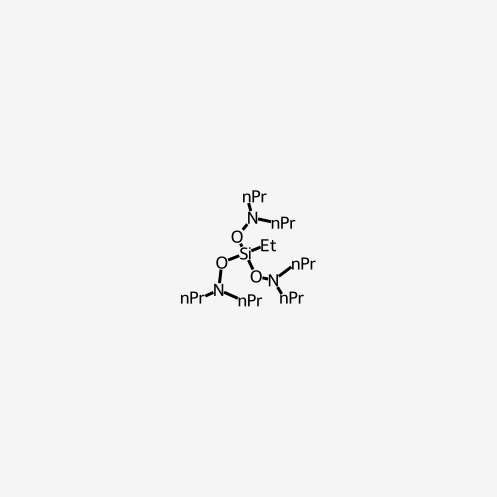 CCCN(CCC)O[Si](CC)(ON(CCC)CCC)ON(CCC)CCC